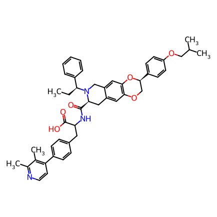 CC[C@@H](c1ccccc1)N1Cc2cc3c(cc2C[C@H]1C(=O)NC(Cc1ccc(-c2ccnc(C)c2C)cc1)C(=O)O)OC[C@H](c1ccc(OCC(C)C)cc1)O3